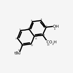 CC(C)(C)c1ccc2ccc(O)c(C(=O)O)c2c1